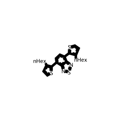 CCCCCCc1ccsc1-c1ccc(-c2sccc2CCCCCC)c2nsnc12